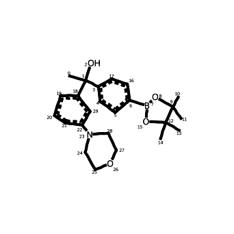 CC(O)(c1ccc(B2OC(C)(C)C(C)(C)O2)cc1)c1cccc(N2CCOCC2)c1